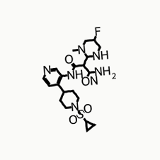 CN1CC(F)CNC1C(C(=O)Nc1cnccc1C1CCN(S(=O)(=O)C2CC2)CC1)C(N)N=O